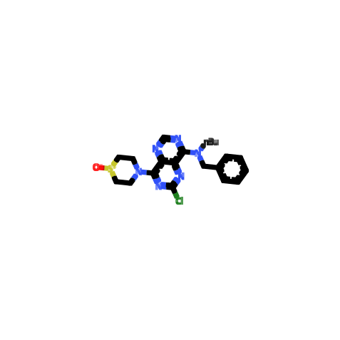 CCCCN(Cc1ccccc1)c1ncnc2c(N3CC[S+]([O-])CC3)nc(Cl)nc12